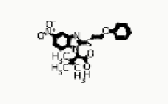 CC(C)(C)C(C(=O)O)n1c(SCCOc2ccccc2)nc2cc([N+](=O)[O-])ccc21